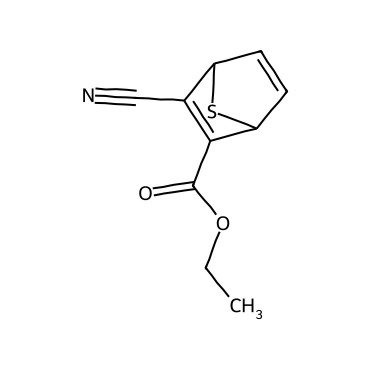 CCOC(=O)C1=C(C#N)C2C=CC1S2